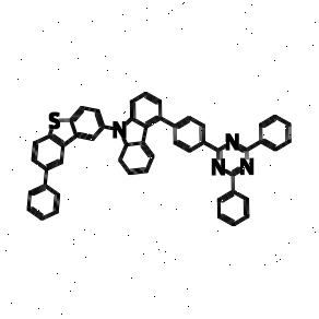 C1=CCC2C(=C1)c1c(-c3ccc(-c4nc(-c5ccccc5)nc(-c5ccccc5)n4)cc3)cccc1N2c1ccc2sc3ccc(-c4ccccc4)cc3c2c1